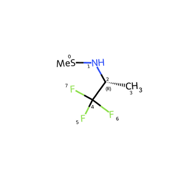 CSN[C@H](C)C(F)(F)F